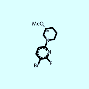 CO[C@@H]1CCCN(c2ccc(Br)c(F)n2)C1